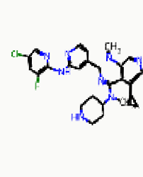 C=Nc1cncc(C2CC2)c1/C(=N\Cc1ccnc(Nc2ncc(Cl)cc2F)c1)N(C)C1CCNCC1